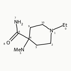 CCN1CCC(NC)(C(N)=O)CC1